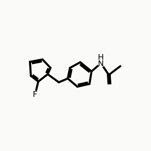 C=C(C)Nc1ccc(Cc2ccccc2F)cc1